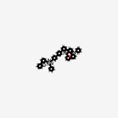 c1ccc(-c2nc(-c3ccc(-c4ccc(-c5cccc6c5nc(-c5ccccc5)c5c6ccc6c5c5ccccc5n6-c5ccccc5)cc4)cc3)nc(-c3cccc4c3oc3ccccc34)n2)cc1